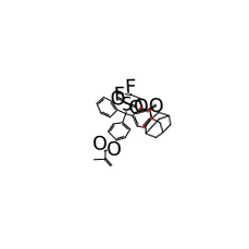 C=C(C)C(=O)Oc1ccc(C(c2ccccc2)(c2ccccc2)S(=O)(=O)C(F)(F)COC(=O)C23CC4CC(CC(C4)C2)C3)cc1